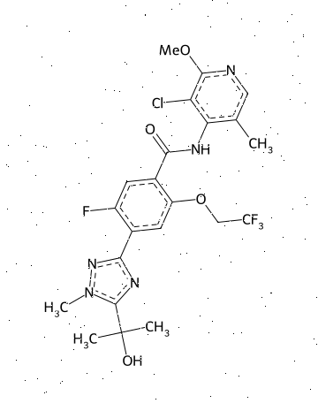 COc1ncc(C)c(NC(=O)c2cc(F)c(-c3nc(C(C)(C)O)n(C)n3)cc2OCC(F)(F)F)c1Cl